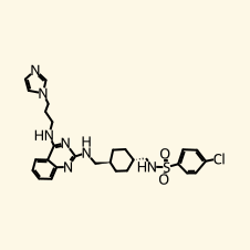 O=S(=O)(NC[C@H]1CC[C@H](CNc2nc(NCCCn3ccnc3)c3ccccc3n2)CC1)c1ccc(Cl)cc1